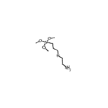 CO[Si](CCC[N]CCN)(OC)OC